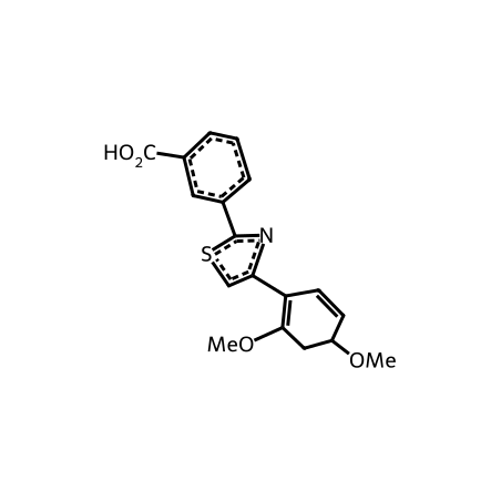 COC1=C(c2csc(-c3cccc(C(=O)O)c3)n2)C=CC(OC)C1